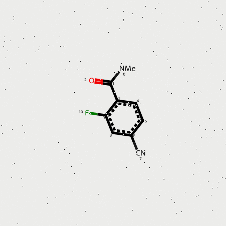 CNC(=O)c1ccc(C#N)cc1F